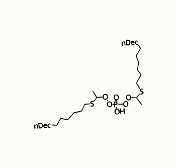 CCCCCCCCCCCCCCCCSC(C)OOP(=O)(O)OOC(C)SCCCCCCCCCCCCCCCC